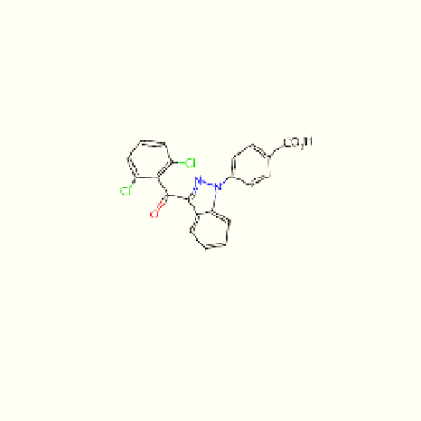 O=C(O)c1ccc(-n2nc(C(=O)c3c(Cl)cccc3Cl)c3ccccc32)cc1